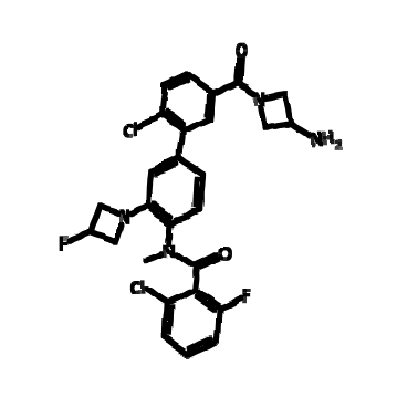 CN(C(=O)c1c(F)cccc1Cl)c1ccc(-c2cc(C(=O)N3CC(N)C3)ccc2Cl)cc1N1CC(F)C1